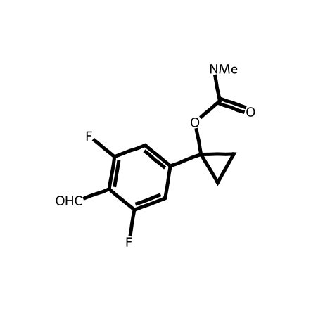 CNC(=O)OC1(c2cc(F)c(C=O)c(F)c2)CC1